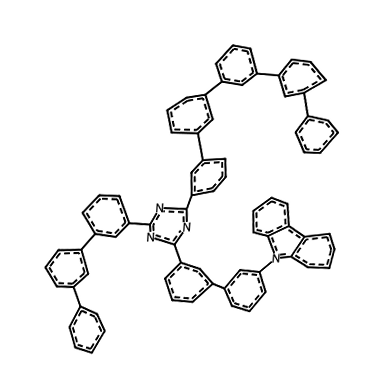 c1ccc(-c2cccc(-c3cccc(-c4cccc(-c5cccc(-c6nc(-c7cccc(-c8cccc(-c9ccccc9)c8)c7)nc(-c7cccc(-c8cccc(-n9c%10ccccc%10c%10ccccc%109)c8)c7)n6)c5)c4)c3)c2)cc1